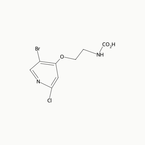 O=C(O)NCCOc1cc(Cl)ncc1Br